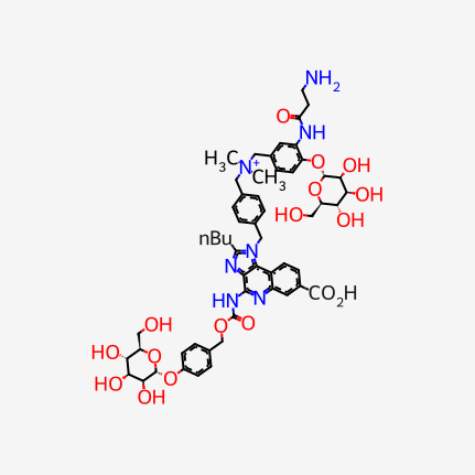 CCCCc1nc2c(NC(=O)OCc3ccc(O[C@H]4O[C@H](CO)[C@@H](O)[C@H](O)[C@@H]4O)cc3)nc3cc(C(=O)O)ccc3c2n1Cc1ccc(C[N+](C)(C)Cc2ccc(O[C@H]3O[C@H](CO)[C@@H](O)[C@H](O)[C@@H]3O)c(NC(=O)CCN)c2)cc1